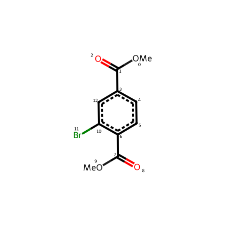 COC(=O)c1ccc(C(=O)OC)c(Br)c1